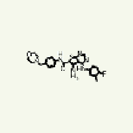 Cc1cc(Nc2ncnc3sc(C(=O)Nc4ccc(CN5CCOCC5)cc4)c(N)c23)ccc1F